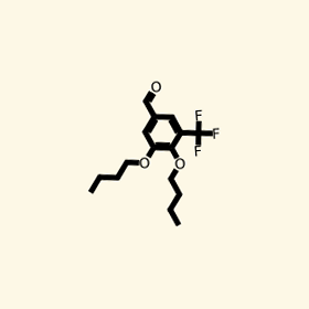 CCCCOc1cc(C=O)cc(C(F)(F)F)c1OCCCC